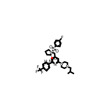 CC(C)CN1CCN(c2cc(C[N+]3(S(=O)(=O)c4ccc(F)cc4)CCC[C@H]3C(N)=O)cc(-c3ccc(C(F)(F)F)cc3)n2)CC1